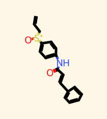 C=CC[S+]([O-])c1ccc(NC(=O)C=Cc2ccccc2)cc1